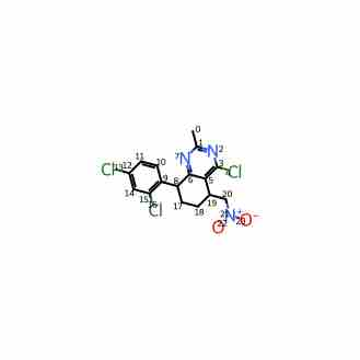 Cc1nc(Cl)c2c(n1)C(c1ccc(Cl)cc1Cl)CCC2C[N+](=O)[O-]